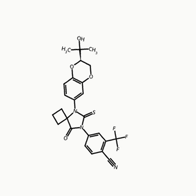 CC(C)(O)[C@H]1COc2cc(N3C(=S)N(c4ccc(C#N)c(C(F)(F)F)c4)C(=O)C34CCC4)ccc2O1